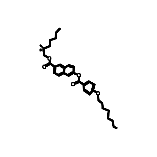 CCCCCCCCOc1ccc(C(=O)Oc2ccc3cc(C(=O)OC[C@@H](C)CCCCC)ccc3c2)cc1